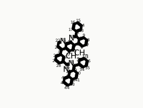 Cc1c(C)c2c3ccccc3c(-c3ccccc3)nc2c2nccc(-c3cccc(-c4nc(-c5ccccc5)c5ccc6ccccc6c5n4)c3)c12